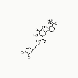 Cn1c(-c2cccc(S(N)(=O)=O)c2)cc(C(=O)NCCCc2ccc(Cl)c(Cl)c2)c(O)c1=O